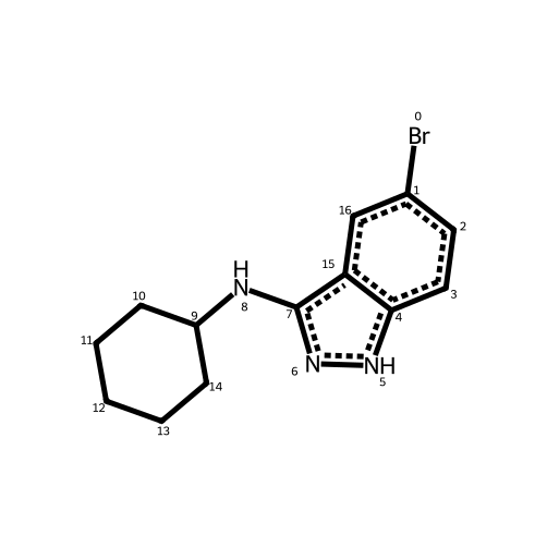 Brc1ccc2[nH]nc(NC3CCCCC3)c2c1